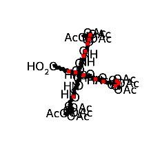 CC(=O)OCC1O[C@@H](OCCCCC(=O)NCCCNC(=O)CCOCC(COCCC(=O)NCCCNC(=O)CCCCO[C@@H]2OC(COC(C)=O)[C@@H](OC(C)=O)C(OC(C)=O)C2OC(C)=O)(COCCC(=O)NCCCNC(=O)CCCCO[C@@H]2OC(COC(C)=O)[C@@H](OC(C)=O)C(OC(C)=O)C2OC(C)=O)NC(=O)CCCCCCCCCCC(=O)O)C(OC(C)=O)C(OC(C)=O)[C@@H]1OC(C)=O